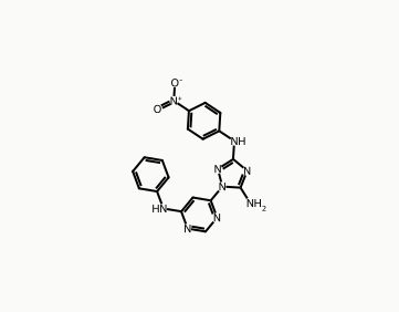 Nc1nc(Nc2ccc([N+](=O)[O-])cc2)nn1-c1cc(Nc2ccccc2)ncn1